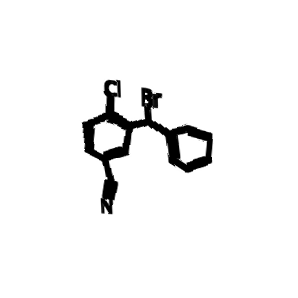 N#Cc1ccc(Cl)c(C(Br)c2ccccc2)c1